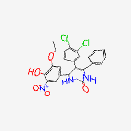 CCOc1cc(C2NC(=O)NC(c3ccccc3)=C2c2ccc(Cl)c(Cl)c2)cc([N+](=O)[O-])c1O